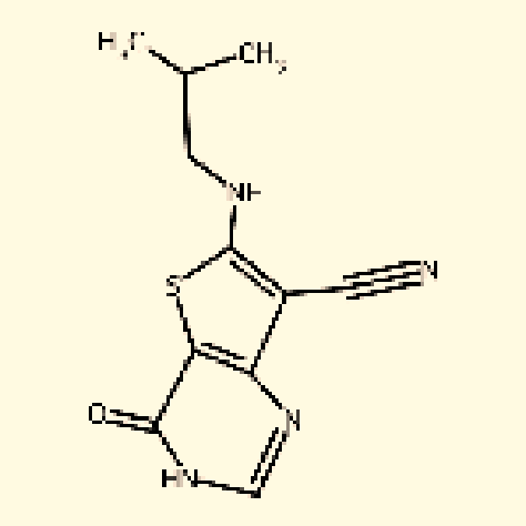 CC(C)CNc1sc2c(=O)[nH]cnc2c1C#N